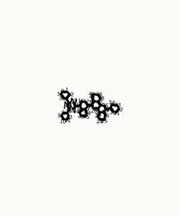 c1ccc(-c2nc(-c3ccccc3)nc(-c3ccc(-c4cc5c6ccccc6c(-c6ccccc6)cc5c5ccccc45)c4ccccc34)n2)cc1